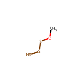 COSSS